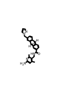 Cc1cc(N)nc(C)c1CNC(=O)c1ccc2c(c1)[C@@H]1O[C@H]2c2ccc(Cn3cccn3)cc21